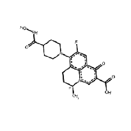 C[C@H]1CCc2c(N3CCC(C(=O)NO)CC3)c(F)cc3c(=O)c(C(=O)O)cn1c23